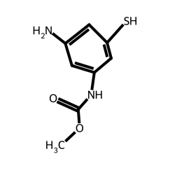 COC(=O)Nc1cc(N)cc(S)c1